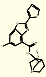 O=C(N[C@@H]1CN2CCC1CC2)c1cc(Cl)cc2oc(-c3cccs3)nc12